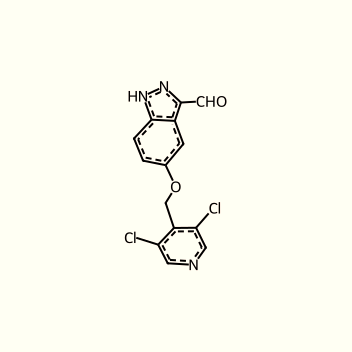 O=Cc1n[nH]c2ccc(OCc3c(Cl)cncc3Cl)cc12